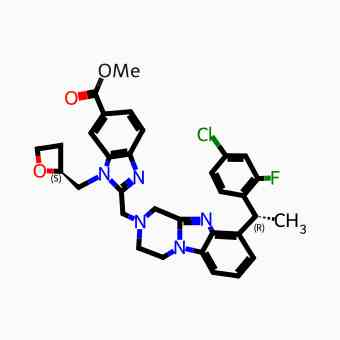 COC(=O)c1ccc2nc(CN3CCn4c(nc5c([C@@H](C)c6ccc(Cl)cc6F)cccc54)C3)n(C[C@@H]3CCO3)c2c1